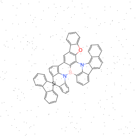 c1ccc2c(c1)-c1ccccc1[Si]21c2ccccc2N2B3c4c(cc5c(oc6ccccc65)c4-n4c5c3cccc5c3ccc5ccccc5c34)-c3cccc1c32